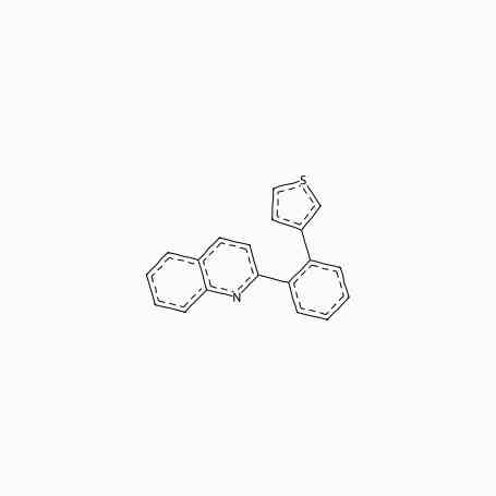 c1ccc(-c2ccc3ccccc3n2)c(-c2ccsc2)c1